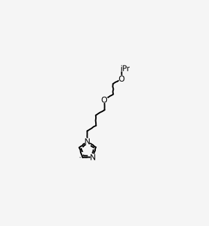 CC(C)OCCOCCCCn1c[c]nc1